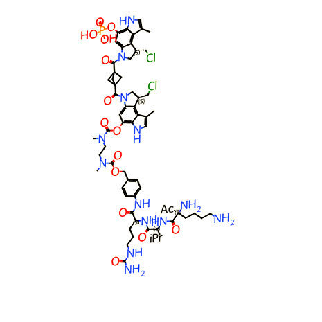 CC(=O)[C@](N)(CCCCN)C(=O)N[C@H](C(=O)N[C@@H](CCCNC(N)=O)C(=O)Nc1ccc(COC(=O)N(C)CCN(C)C(=O)Oc2cc3c(c4c(C)c[nH]c24)[C@H](CCl)CN3C(=O)C23CC(C(=O)N4C[C@@H](CCl)c5c4cc(OP(=O)(O)O)c4[nH]cc(C)c54)(C2)C3)cc1)C(C)C